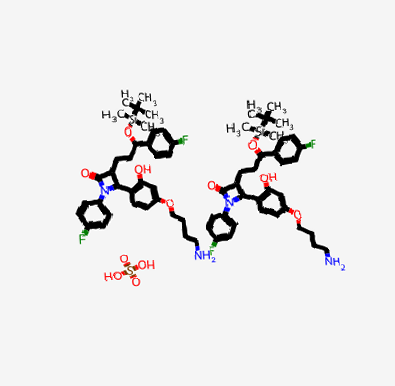 CC(C)(C)[Si](C)(C)OC(CCC1C(=O)N(c2ccc(F)cc2)C1c1ccc(OCCCCN)cc1O)c1ccc(F)cc1.CC(C)(C)[Si](C)(C)OC(CCC1C(=O)N(c2ccc(F)cc2)C1c1ccc(OCCCCN)cc1O)c1ccc(F)cc1.O=S(=O)(O)O